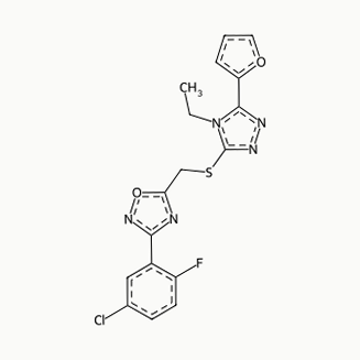 CCn1c(SCc2nc(-c3cc(Cl)ccc3F)no2)nnc1-c1ccco1